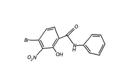 O=C(Nc1ccccc1)c1ccc(Br)c([N+](=O)[O-])c1O